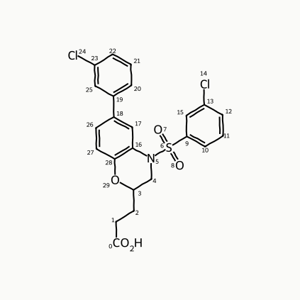 O=C(O)CCC1CN(S(=O)(=O)c2cccc(Cl)c2)c2cc(-c3cccc(Cl)c3)ccc2O1